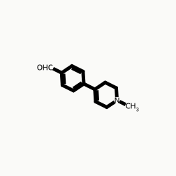 CN1CC=C(c2ccc(C=O)cc2)CC1